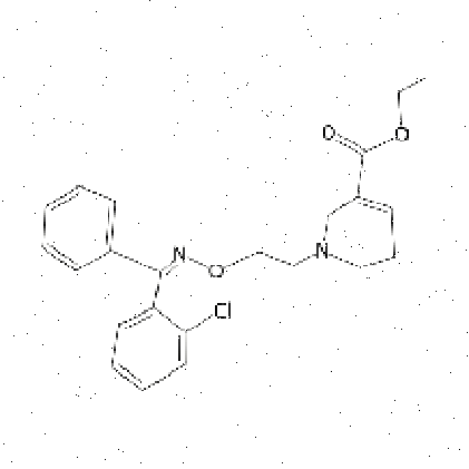 CCOC(=O)C1=CCCN(CCON=C(c2ccccc2)c2ccccc2Cl)C1